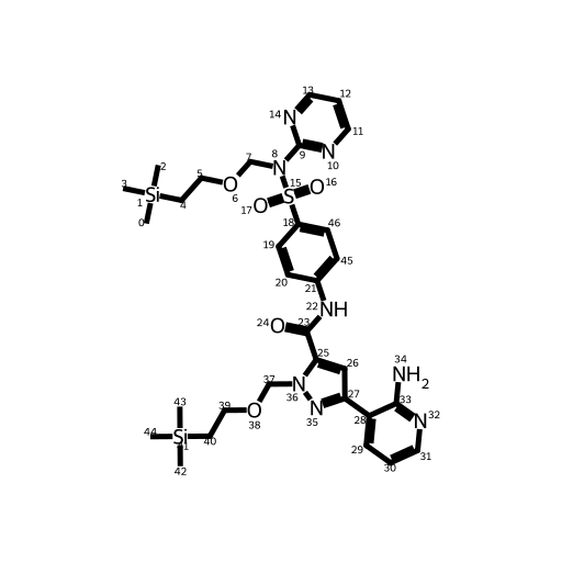 C[Si](C)(C)CCOCN(c1ncccn1)S(=O)(=O)c1ccc(NC(=O)c2cc(-c3cccnc3N)nn2COCC[Si](C)(C)C)cc1